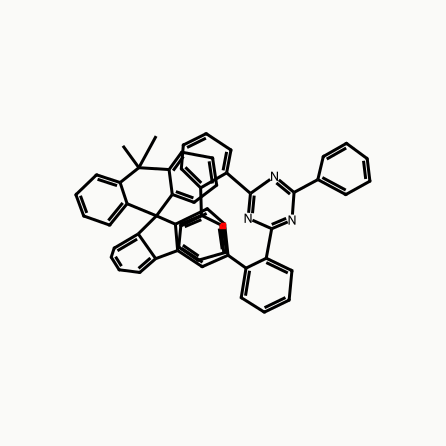 CC1(C)c2ccccc2C2(c3ccccc3-c3cc(-c4ccccc4-c4nc(-c5ccccc5)nc(-c5ccccc5-c5ccccc5)n4)ccc32)c2ccccc21